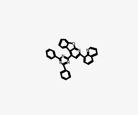 c1ccc(-c2nc(-c3ccccc3)nc(-c3cc(-c4cccc5cccnc45)nc4oc5ccccc5c34)n2)cc1